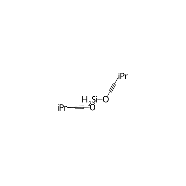 CC(C)C#CO[SiH2]OC#CC(C)C